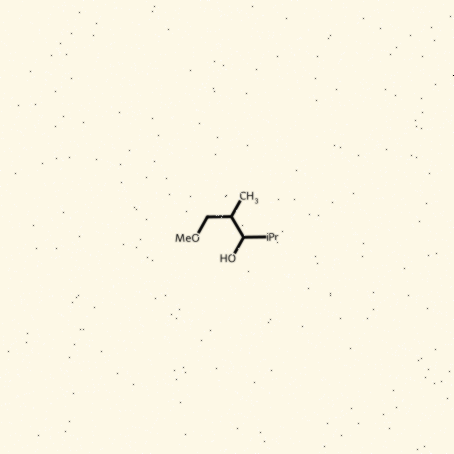 COCC(C)C(O)C(C)C